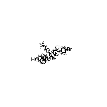 CS(C)(C)CCOCn1c(O[C@@H]2CO[C@H]3[C@@H]2OC[C@H]3O)nc2nc(-c3ccc(Br)cc3)c(Cl)cc21